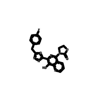 O=C1OCCN1c1nc(-c2nnc(Cc3ccc(F)cc3)o2)c(O)c2ncccc12